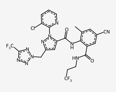 Cc1cc(C#N)cc(C(=O)NCCC(F)(F)F)c1NC(=O)c1cc(Cn2nnc(C(F)(F)F)n2)nn1-c1ncccc1Cl